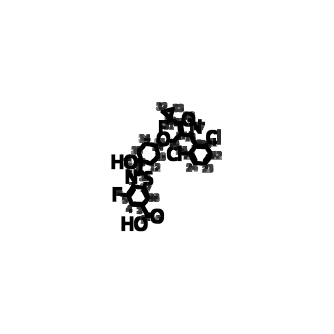 O=C(O)c1cc(F)c2nc(C3(O)CCC(OCc4c(-c5c(Cl)cccc5Cl)noc4C4(F)CC4)CC3)sc2c1